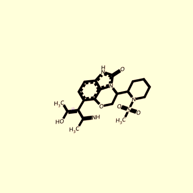 CC(=N)/C(=C(/C)O)c1ccc2[nH]c(=O)n3c2c1OCC3C1CCCCN1S(C)(=O)=O